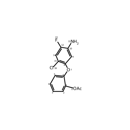 CC(=O)Oc1ccccc1Oc1cc(N)c(F)cc1Cl